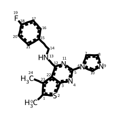 Cc1sc2nc(-n3ccnc3)nc(NCc3ccc(F)cc3)c2c1C